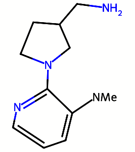 CNc1cccnc1N1CCC(CN)C1